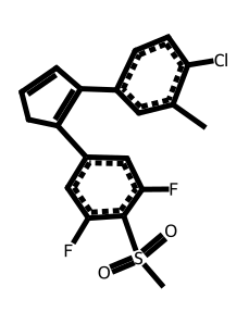 Cc1cc(C2=C(c3cc(F)c(S(C)(=O)=O)c(F)c3)CC=C2)ccc1Cl